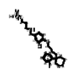 O=[PH](O)OCCCNCc1ccc(SCCCCC2(c3ccccc3F)CCCCC2)c(Cl)c1